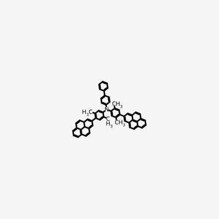 Cc1cc(N(c2ccc(-c3ccccc3)cc2)c2cc(C)c(-c3cc4ccc5cccc6ccc(c3)c4c56)cc2C)c(C)cc1C1=CC2C=Cc3cccc4c3C2C(=C1)C=C4